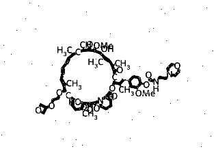 CO[C@@H]1C[C@H](C[C@@H](C)[C@@H]2CC(=O)[C@H](C)/C=C(\C)[C@@H](O)[C@@H](OC)C(=O)[C@H](C)C[C@H](C)/C=C/C=C/C=C(\C)C(OCCOC3COC3)C[C@@H]3CC[C@@H](C)[C@@](O)(O3)C(=O)C(=O)N3CCCC[C@H]3C(=O)O2)CC[C@H]1OC(=O)NCCN1CCOCC1